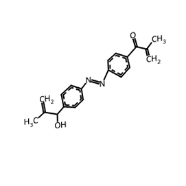 C=C(C)C(=O)c1ccc(N=Nc2ccc(C(O)C(=C)C)cc2)cc1